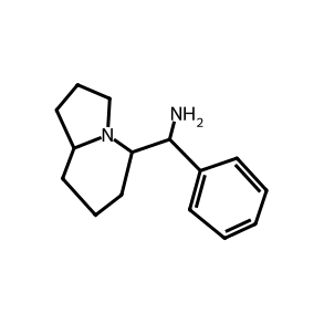 NC(c1ccccc1)C1CCCC2CCCN21